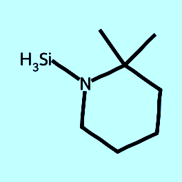 CC1(C)CCCCN1[SiH3]